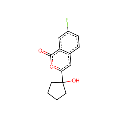 O=c1oc(C2(O)CCCC2)cc2ccc(F)cc12